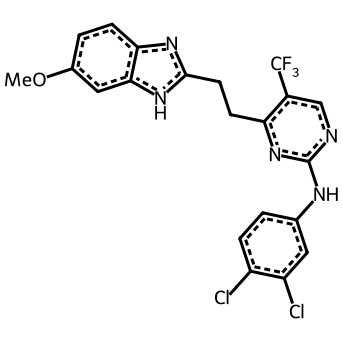 COc1ccc2nc(CCc3nc(Nc4ccc(Cl)c(Cl)c4)ncc3C(F)(F)F)[nH]c2c1